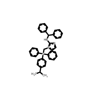 CC(C)c1ccc([Si](Cn2ccnc2BC(c2ccccc2)c2ccccc2)(c2ccccc2)c2ccccc2)cc1